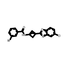 O=C(NC12CC(c3nc4cc(Cl)ccc4o3)(C1)C2)c1cccc(Br)c1